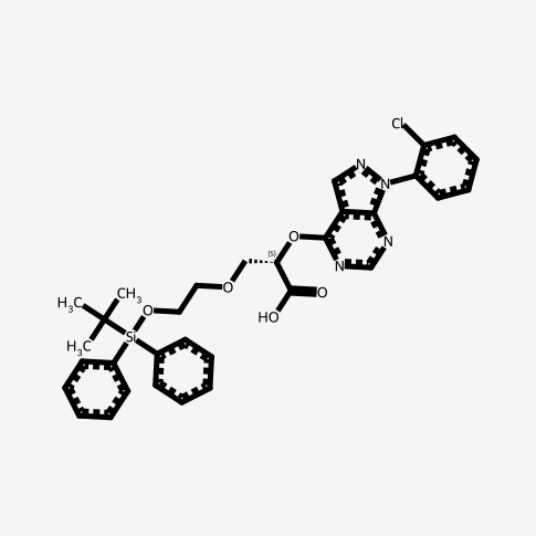 CC(C)(C)[Si](OCCOC[C@H](Oc1ncnc2c1cnn2-c1ccccc1Cl)C(=O)O)(c1ccccc1)c1ccccc1